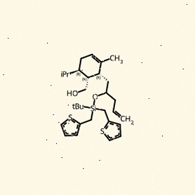 C=CCC(C[C@H]1C(C)=CC[C@H](C(C)C)[C@H]1CO)O[Si](Cc1cccs1)(Cc1cccs1)C(C)(C)C